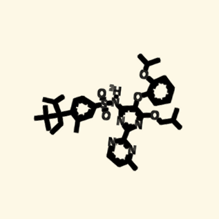 [2H]N(c1nc(-c2nccc(C)n2)nc(OCC(C)C)c1Oc1ccccc1OC(C)C)S(=O)(=O)c1ccc(C(CC)(C(C)C)C(C)(C)C)c(C)c1